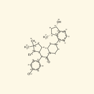 CCN1C(C(C(=O)N2CCN(c3ncnc4c3[C@H](C)C[C@@H]4O)CC2)c2ccc(Cl)cc2)CCC1(C)C